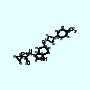 CC1(C(=O)Nc2c[nH]c3ccc(O[C@H]4C[C@H](c5ccc(C(F)(F)F)cc5)C4)cc23)CC1